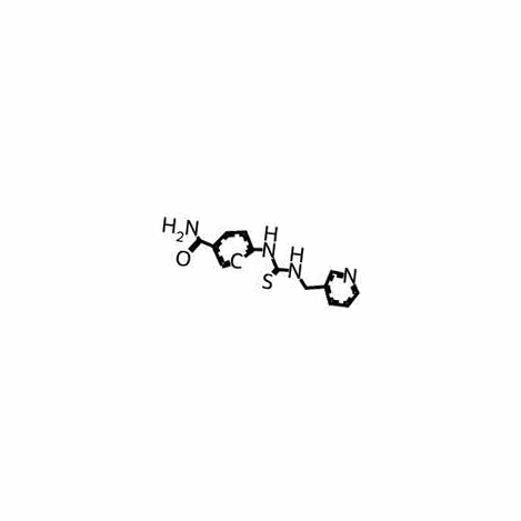 NC(=O)c1ccc(NC(=S)NCc2cccnc2)cc1